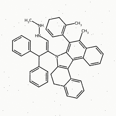 CNN/C=C(\C(c1ccccc1)c1ccccc1)n1c2c(c3c4ccccc4c(C)c(C4=C(C)CCC=C4)c31)-c1ccccc1CC2